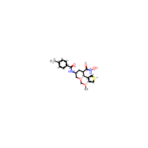 CCOCOCC(CC(Cc1ccsc1)C(=O)NO)NC(=O)c1ccc([N+](=O)[O-])cc1